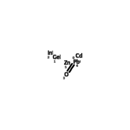 [Cd].[Ge].[In].[O]=[Pb].[Zn]